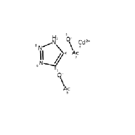 CC(=O)[O-].CC(=O)[O-].[Cd+2].c1c[nH]nn1